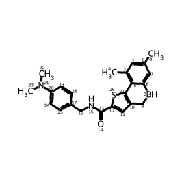 Cc1cc(C)c2c(c1)BCc1cc(C(=O)NCc3ccc(N(C)C)cc3)sc1-2